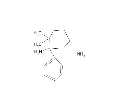 CC1(C)CCCCC1(N)c1ccccc1.N